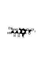 CCNC(=N)NC(=O)Nc1c(C)cc(OC(=O)C(F)(F)F)cc1C